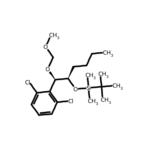 CCCC[C@@H](O[Si](C)(C)C(C)(C)C)[C@H](OCOC)c1c(Cl)cccc1Cl